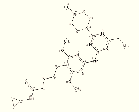 CCc1nc(Nc2nc(OC)c(CCCCC(=O)NC3CC3)c(OC)n2)nc(N2CCN(C)CC2)n1